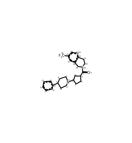 O=C(C1CCC(N2CCC(c3ccccc3)CC2)C1)N1CCc2ncc(C(F)(F)F)cc2C1